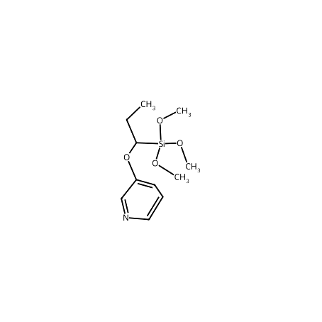 CCC(Oc1cccnc1)[Si](OC)(OC)OC